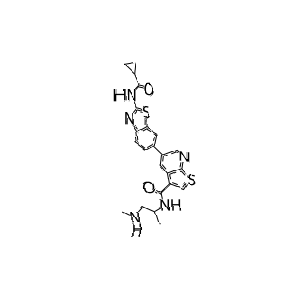 CNCC(C)NC(=O)c1csc2ncc(-c3ccc4nc(NC(=O)C5CC5)sc4c3)cc12